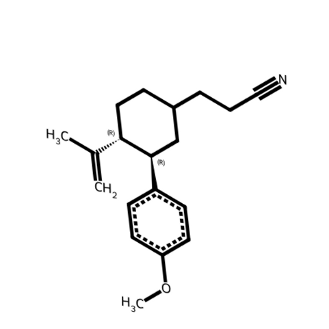 C=C(C)[C@@H]1CCC(CCC#N)C[C@H]1c1ccc(OC)cc1